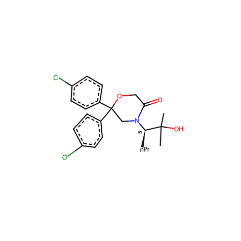 CCC[C@@H](N1CC(c2ccc(Cl)cc2)(c2ccc(Cl)cc2)OCC1=O)C(C)(C)O